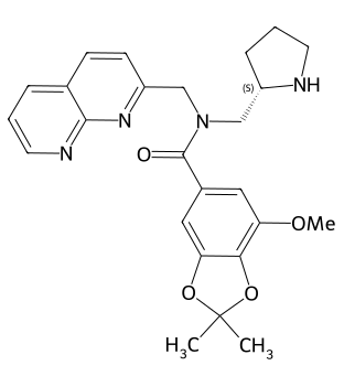 COc1cc(C(=O)N(Cc2ccc3cccnc3n2)C[C@@H]2CCCN2)cc2c1OC(C)(C)O2